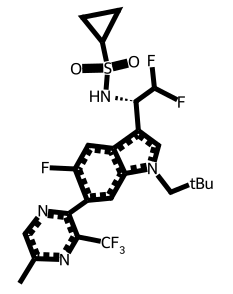 Cc1cnc(-c2cc3c(cc2F)c([C@H](NS(=O)(=O)C2CC2)C(F)F)cn3CC(C)(C)C)c(C(F)(F)F)n1